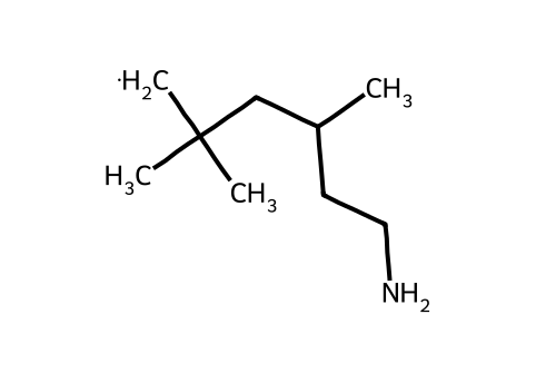 [CH2]C(C)(C)CC(C)CCN